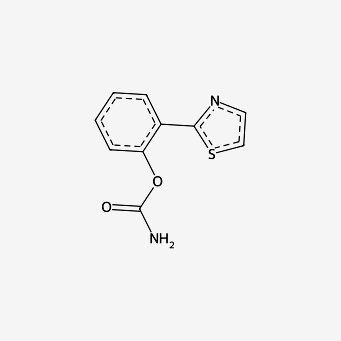 NC(=O)Oc1ccccc1-c1nccs1